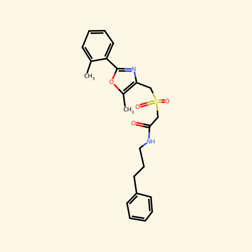 Cc1ccccc1-c1nc(CS(=O)(=O)CC(=O)NCCCc2ccccc2)c(C)o1